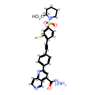 NNC(=O)c1cc(-c2ccc(C#Cc3ccc(S(=O)(=O)N4CCCC[C@@H]4C(=O)O)cc3F)cc2)nc2ccncc12